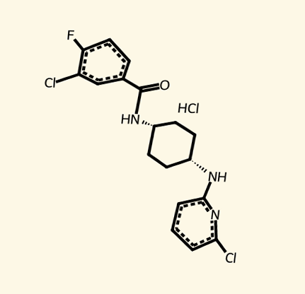 Cl.O=C(N[C@H]1CC[C@@H](Nc2cccc(Cl)n2)CC1)c1ccc(F)c(Cl)c1